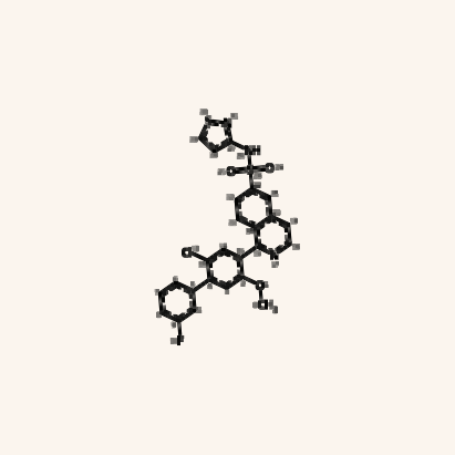 COc1cc(-c2cccc(F)c2)c(Cl)cc1-c1nccc2cc(S(=O)(=O)Nc3ccsn3)ccc12